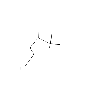 CCOC(=O)C(CCC(C)C)C(C)(C#N)C(=O)OCC